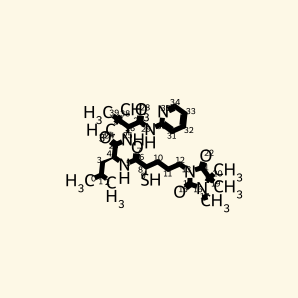 CC(C)C[C@H](NC(=O)[C@@H](S)CCCN1C(=O)N(C)C(C)(C)C1=O)C(=O)N[C@H](C(=O)Nc1ccccn1)C(C)(C)C